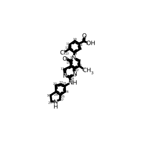 Cc1cn(-c2cc(C(=O)O)ccc2Cl)c(=O)c2cnc(Nc3ccc4c(c3)CNCC4)nc12